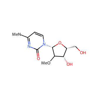 CNc1ccn([C@@H]2O[C@H](CO)[C@H](O)C2OC)c(=O)n1